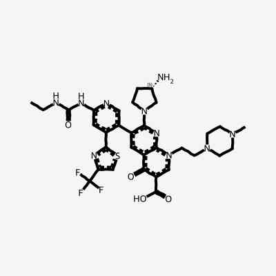 CCNC(=O)Nc1cc(-c2nc(C(F)(F)F)cs2)c(-c2cc3c(=O)c(C(=O)O)cn(CCN4CCN(C)CC4)c3nc2N2CC[C@H](N)C2)cn1